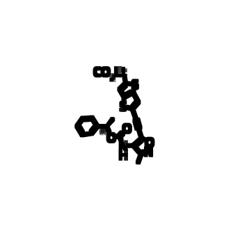 CCOC(=O)c1cc2sc(C#Cc3onc(C)c3NC(=O)O[C@H](C)c3ccccc3)cc2s1